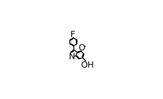 COc1cc(CO)cc2c1c(-c1ccc(F)cc1)cn2C